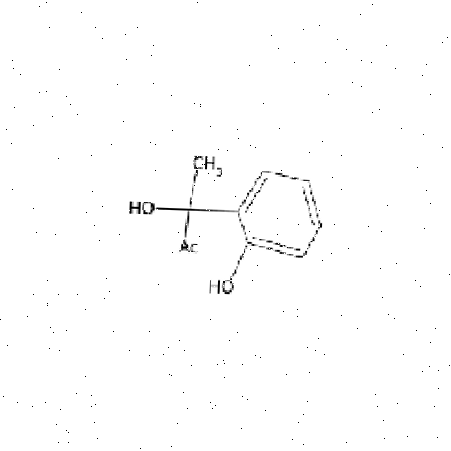 CC(=O)C(C)(O)c1ccccc1O